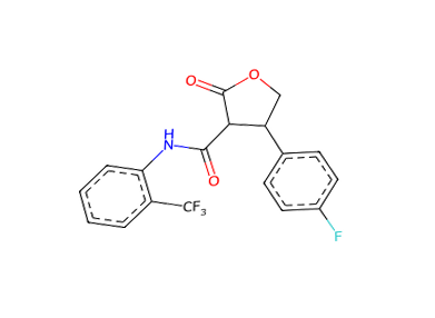 O=C(Nc1ccccc1C(F)(F)F)C1C(=O)OCC1c1ccc(F)cc1